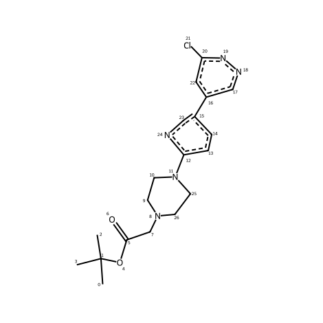 CC(C)(C)OC(=O)CN1CCN(c2ccc(-c3cnnc(Cl)c3)cn2)CC1